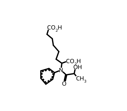 CC(O)C(=O)N(c1ccccc1)C(CCCCCC(=O)O)C(=O)O